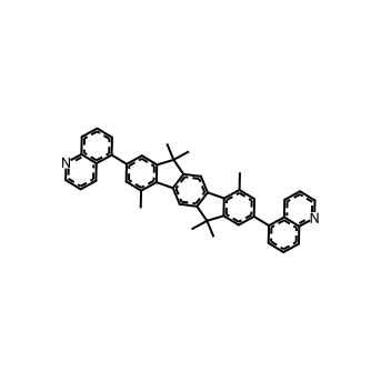 Cc1cc(-c2cccc3ncccc23)cc2c1-c1cc3c(cc1C2(C)C)-c1c(C)cc(-c2cccc4ncccc24)cc1C3(C)C